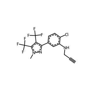 C#CCNc1cc(-c2nn(C)c(C(F)(F)F)c2C(F)(F)F)ccc1Cl